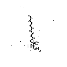 CCCCCCCCCCOC(=O)NN